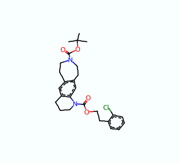 CC(C)(C)OC(=O)N1CCc2cc3c(cc2CC1)N(C(=O)OCCc1ccccc1Cl)CCC3